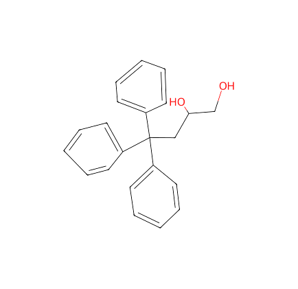 OCC(O)CC(c1ccccc1)(c1ccccc1)c1ccccc1